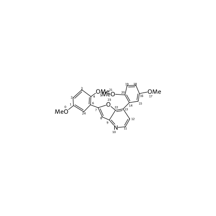 COc1ccc(OC)c(-c2cc3nccc(-c4cc(OC)ccc4OC)c3o2)c1